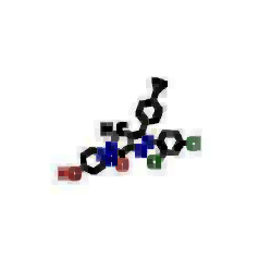 Cc1c(C(=O)NN2CCC(O)CC2)nn(-c2ccc(Cl)cc2Cl)c1-c1ccc(C2CC2)cc1